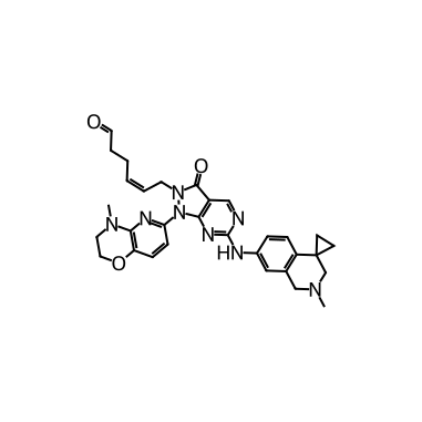 CN1Cc2cc(Nc3ncc4c(=O)n(C/C=C\CCC=O)n(-c5ccc6c(n5)N(C)CCO6)c4n3)ccc2C2(CC2)C1